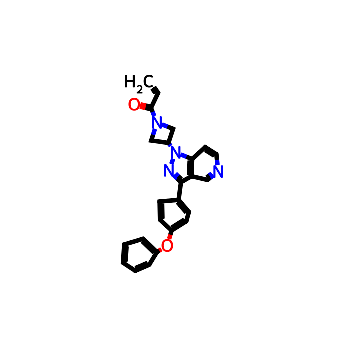 C=CC(=O)N1CC(n2nc(-c3ccc(Oc4ccccc4)cc3)c3cnccc32)C1